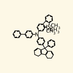 C[SH]1(C)(C)c2ccccc2-c2ccc(N(c3ccc(-c4ccccc4)cc3)c3ccc(C4(c5ccccc5)C5=C(CCC=C5)C5=C4C=CCC5)cc3)cc21